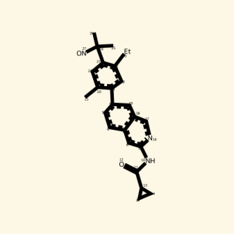 CCc1cc(-c2ccc3cc(NC(=O)C4CC4)ncc3c2)c(C)cc1C(C)(C)N=O